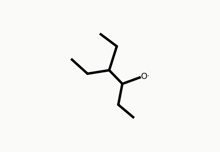 CCC([O])C(CC)CC